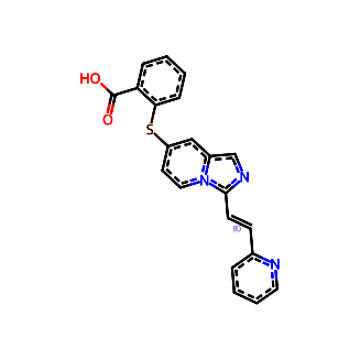 O=C(O)c1ccccc1Sc1ccn2c(/C=C/c3ccccn3)ncc2c1